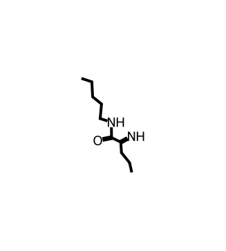 CCCCCNC(=O)C(=N)CCC